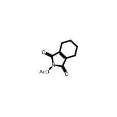 CC(=O)ON1C(=O)C2=C(CCCC2)C1=O